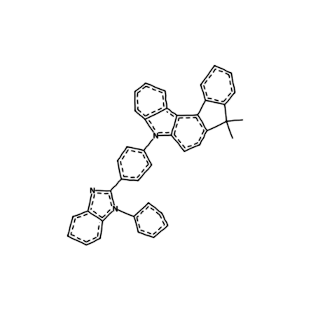 CC1(C)c2ccccc2-c2c1ccc1c2c2ccccc2n1-c1ccc(-c2nc3ccccc3n2-c2ccccc2)cc1